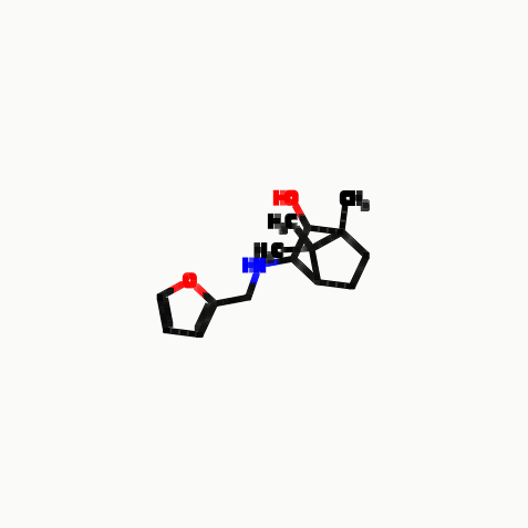 CC1(C)C2CCC1(C)C(O)C2NCc1ccco1